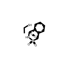 CCS.O=S1(=O)Nc2ccc1c1ccccc21